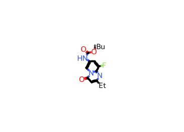 CCc1cc(=O)n2cc(NC(=O)OC(C)(C)C)cc(F)c2n1